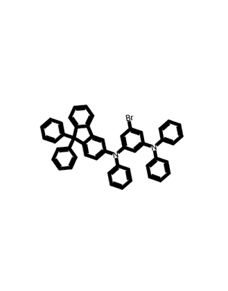 Brc1cc(N(c2ccccc2)c2ccccc2)cc(N(c2ccccc2)c2ccc3c(c2)-c2ccccc2C3(c2ccccc2)c2ccccc2)c1